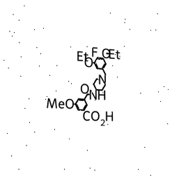 CCOc1cc(CN2CCC(NC(=O)c3cc(OC)cc(C(=O)O)c3)CC2)cc(OCC)c1F